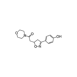 O=C(CC1CC(c2ccc(O)cc2)=NO1)N1CCOCC1